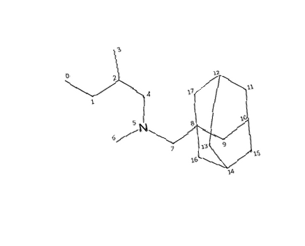 CCC(C)CN(C)CC12CC3CC(CC(C3)C1)C2